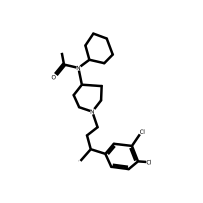 [CH2]C(CCN1CCC(N(C(C)=O)C2CCCCC2)CC1)c1ccc(Cl)c(Cl)c1